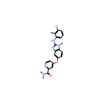 Cc1c(Cl)cccc1Nc1nc2cc(Oc3ccnc(C(=O)N(C)C)c3)ccc2n1C